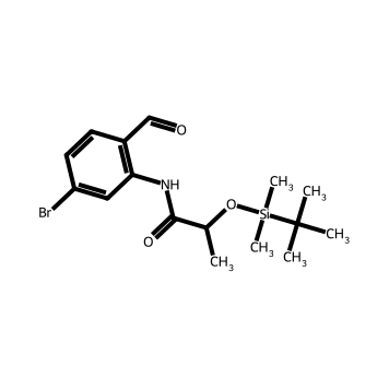 CC(O[Si](C)(C)C(C)(C)C)C(=O)Nc1cc(Br)ccc1C=O